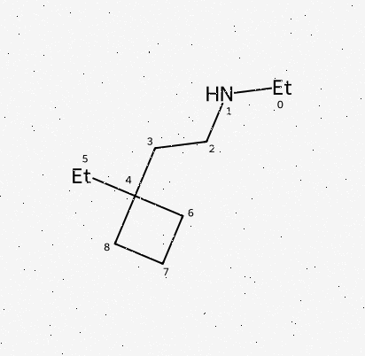 CCNCCC1(CC)CCC1